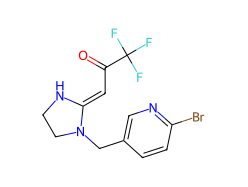 O=C(/C=C1\NCCN1Cc1ccc(Br)nc1)C(F)(F)F